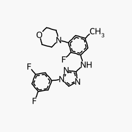 Cc1cc(Nc2ncn(-c3cc(F)cc(F)c3)n2)c(F)c(N2CCOCC2)c1